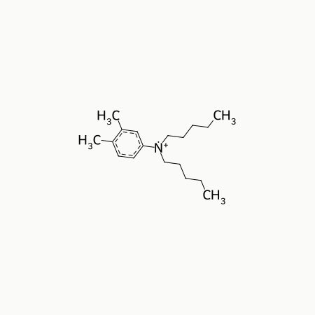 CCCCC[N+](CCCCC)c1ccc(C)c(C)c1